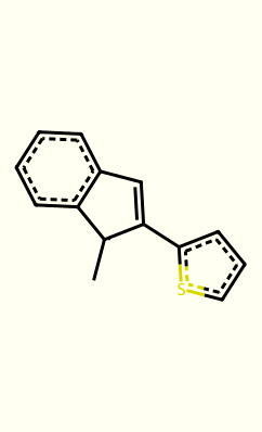 C[C]1C(c2cccs2)=Cc2ccccc21